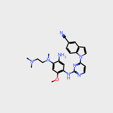 COc1cc(N(C)CCN(C)C)c(N)cc1Nc1nccc(-n2ccc3cc(C#N)ccc32)n1